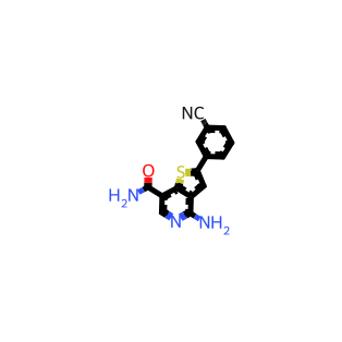 N#Cc1cccc(-c2cc3c(N)ncc(C(N)=O)c3s2)c1